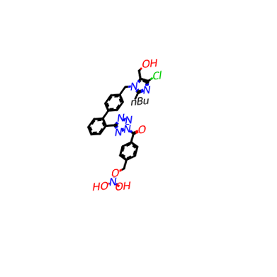 CCCCc1nc(Cl)c(CO)n1Cc1ccc(-c2ccccc2-c2nnn(C(=O)c3ccc(CON(O)O)cc3)n2)cc1